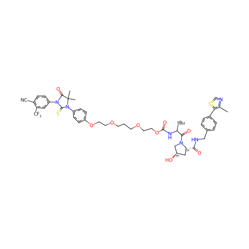 Cc1ncsc1-c1ccc(CNC(=O)[C@@H]2C[C@@H](O)CN2C(=O)C(NC(=O)OCCOCCCOCCOc2ccc(N3C(=S)N(c4ccc(C#N)c(C(F)(F)F)c4)C(=O)C3(C)C)cc2)C(C)(C)C)cc1